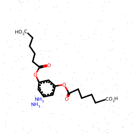 N.N.O=C(O)CCCCC(=O)Oc1cccc(OC(=O)CCCCC(=O)O)c1